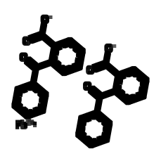 O=C([O-])c1ccccc1C(=O)c1ccccc1.O=C([O-])c1ccccc1C(=O)c1ccccc1.[Pb+2]